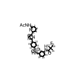 CC(=O)Nc1cccc(-c2nc(-c3ccc(S(=O)(=O)Nc4cccc(NC(=O)C(C)(C)CF)c4)cc3)no2)n1